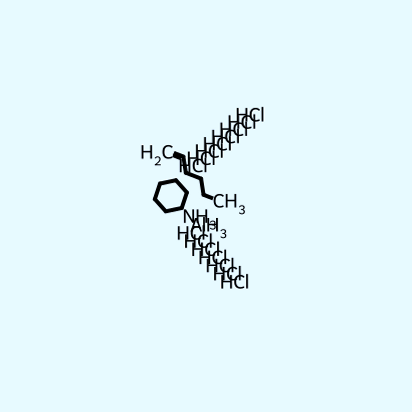 C1CCCCC1.C=CCCCC.Cl.Cl.Cl.Cl.Cl.Cl.Cl.Cl.Cl.Cl.Cl.Cl.Cl.Cl.Cl.N.[AlH3]